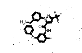 NCc1cccc(-n2nc(C(F)(F)F)cc2C(=O)Nc2cc(Oc3ccccc3)ccc2F)c1